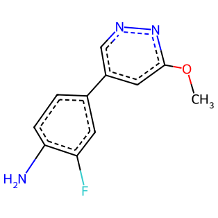 COc1cc(-c2ccc(N)c(F)c2)cnn1